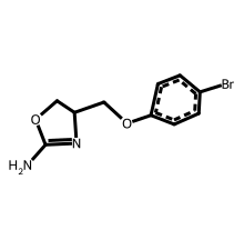 NC1=NC(COc2ccc(Br)cc2)CO1